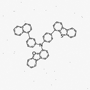 c1cc(-c2cccc3ccccc23)cc(N(c2ccc(-c3cccc4c3sc3ccccc34)cc2)c2cccc3c2oc2ccccc23)c1